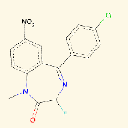 CN1C(=O)C(F)N=C(c2ccc(Cl)cc2)c2cc([N+](=O)[O-])ccc21